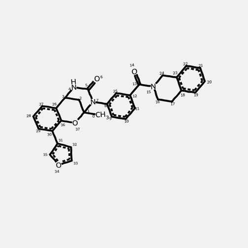 CC12CC(NC(=O)N1c1cccc(C(=O)N3CCc4ccccc4C3)c1)c1cccc(-c3ccoc3)c1O2